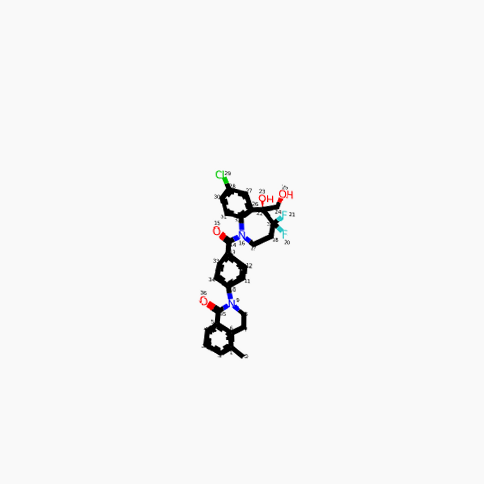 Cc1cccc2c1CCN(c1ccc(C(=O)N3CCC(F)(F)[C@](O)(CO)c4cc(Cl)ccc43)cc1)C2=O